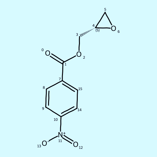 O=C(OC[C@@H]1CO1)c1ccc([N+](=O)[O-])cc1